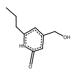 CCCc1cc(CO)cc(=O)[nH]1